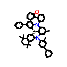 Cc1cc2c3c(c1)N(c1cccc4oc5ccccc5c14)c1ccc(-c4ccccc4)cc1B3c1cc3c(cc1N2c1ccc(-c2ccccc2)cc1C)C(C)(C)CCC3(C)C